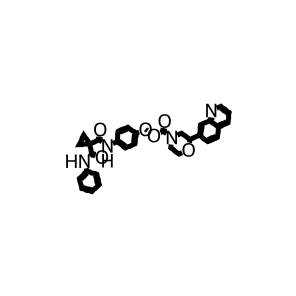 O=C(OOc1ccc(NC(=O)C2(C(=O)Nc3ccccc3)CC2)cc1)N1CCOC(c2ccc3cccnc3c2)C1